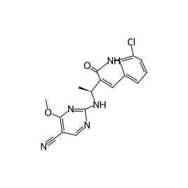 COc1nc(N[C@@H](C)c2cc3cccc(Cl)c3[nH]c2=O)ncc1C#N